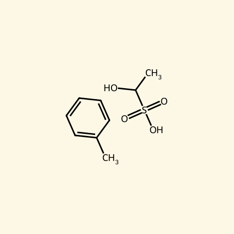 CC(O)S(=O)(=O)O.Cc1ccccc1